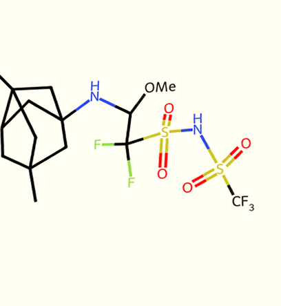 COC(NC12CC3CC(C)(C1)CC3(C)C2)C(F)(F)S(=O)(=O)NS(=O)(=O)C(F)(F)F